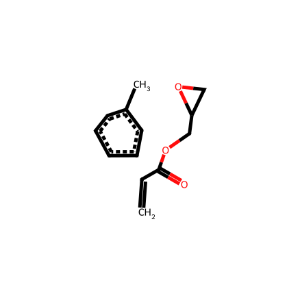 C=CC(=O)OCC1CO1.Cc1ccccc1